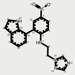 O=[N+]([O-])c1ccc(NCCn2cncn2)c(-c2cccc3cc[nH]c23)c1